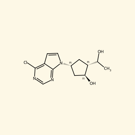 CC(O)[C@H]1C[C@@H](n2ccc3c(Cl)ncnc32)C[C@@H]1O